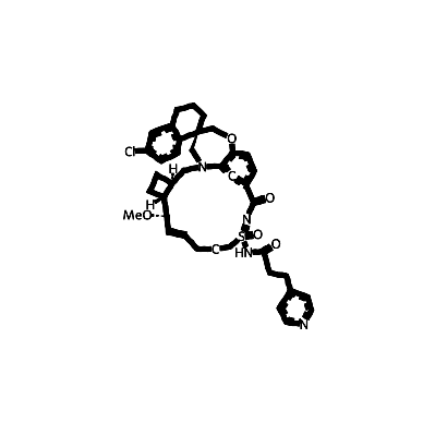 CO[C@H]1/C=C/CCCS(=O)(NC(=O)CCc2ccncc2)=NC(=O)c2ccc3c(c2)N(C[C@@H]2CC[C@H]21)C[C@@]1(CCCc2cc(Cl)ccc21)CO3